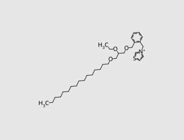 CCCCCCCCCCCCCCCCOCC(COCc1ccccc1C[n+]1ccsc1)OCC